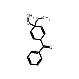 COC1(SC)C=CC(C(=O)c2ccccc2)C=C1